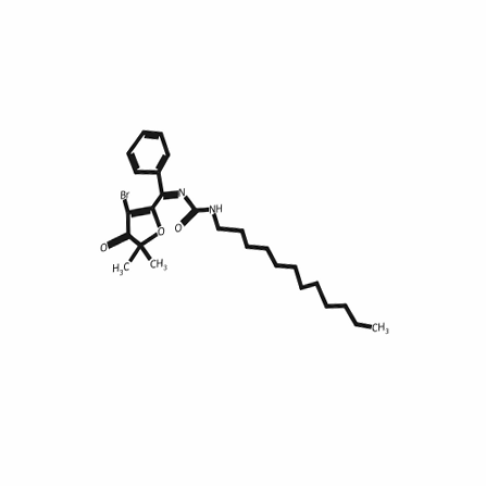 CCCCCCCCCCCCNC(=O)N=C(C1=C(Br)C(=O)C(C)(C)O1)c1ccccc1